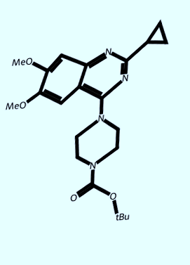 COc1cc2nc(C3CC3)nc(N3CCN(C(=O)OC(C)(C)C)CC3)c2cc1OC